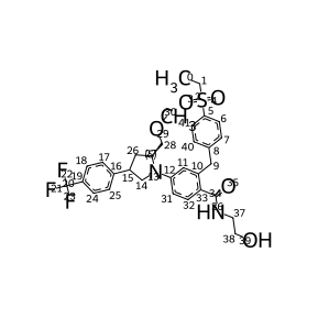 CCS(=O)(=O)c1ccc(Cc2cc(N3CC(c4ccc(C(F)(F)F)cc4)C[C@H]3COC)ccc2C(=O)NCCO)cc1